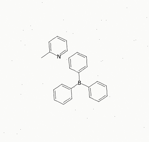 Cc1ccccn1.c1ccc(B(c2ccccc2)c2ccccc2)cc1